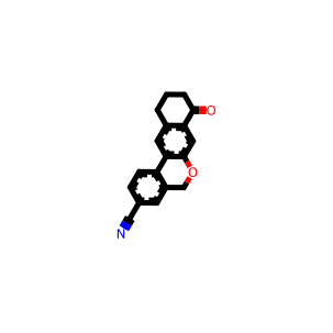 N#Cc1ccc2c(c1)COc1cc3c(cc1-2)CCCC3=O